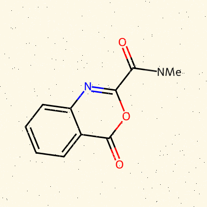 CNC(=O)c1nc2ccccc2c(=O)o1